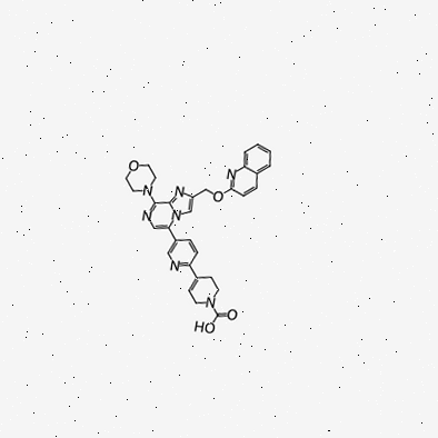 O=C(O)N1CC=C(c2ccc(-c3cnc(N4CCOCC4)c4nc(COc5ccc6ccccc6n5)cn34)cn2)CC1